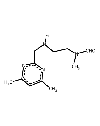 CCN(CCN(C)C=O)Cc1nc(C)cc(C)n1